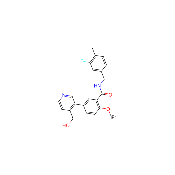 Cc1ccc(CNC(=O)c2cc(-c3cnccc3CO)ccc2OC(C)C)cc1F